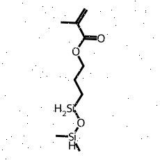 C=C(C)C(=O)OCCC[SiH2]O[SiH](C)C